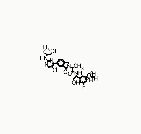 [2H]C([2H])([2H])Oc1cc(F)cc(C(CO)NC(=O)C(C)N2Cc3ccc(-c4nc(NC(C)CO)ncc4Cl)cc3C2=O)c1